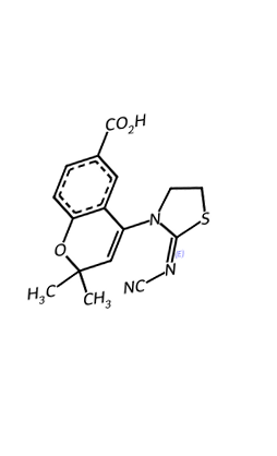 CC1(C)C=C(N2CCS/C2=N/C#N)c2cc(C(=O)O)ccc2O1